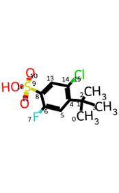 CC(C)(C)c1cc(F)c(S(=O)(=O)O)cc1Cl